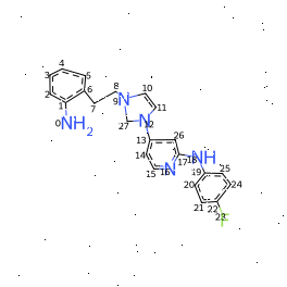 Nc1ccccc1CCN1C=CN(c2ccnc(Nc3ccc(F)cc3)c2)C1